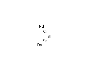 [B].[C].[Dy].[Fe].[Nd]